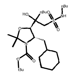 CCCCNS(=O)(=O)CC(O)(CCCC)[C@@H]1OC(C)(C)N(C(=O)OC(C)(C)C)[C@H]1CC1CCCCC1